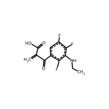 C=C(C(=O)O)C(=O)c1cc(F)c(F)c(NCC)c1F